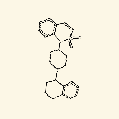 O=S1(=O)N=Cc2ccccc2N1C1CCN(C2CCCc3ccccc32)CC1